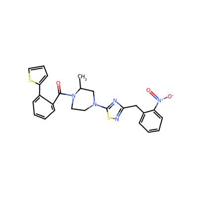 CC1CN(c2nc(Cc3ccccc3[N+](=O)[O-])ns2)CCN1C(=O)c1ccccc1-c1cccs1